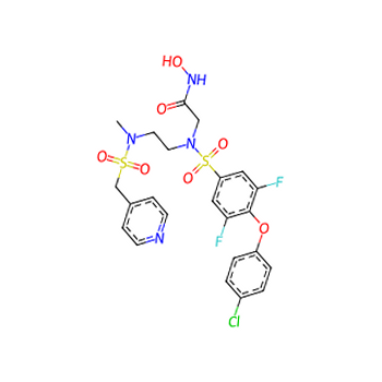 CN(CCN(CC(=O)NO)S(=O)(=O)c1cc(F)c(Oc2ccc(Cl)cc2)c(F)c1)S(=O)(=O)Cc1ccncc1